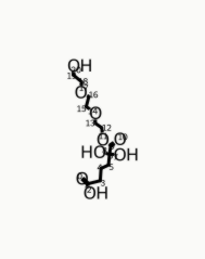 O=C(O)CCCC(O)(O)C(=O)OCCOCCOCCO